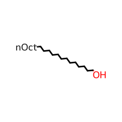 [CH2]CCCCCCCCCCCCCCCCCCCCO